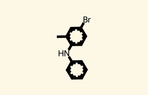 Cc1cc(Br)ccc1Nc1ccccc1